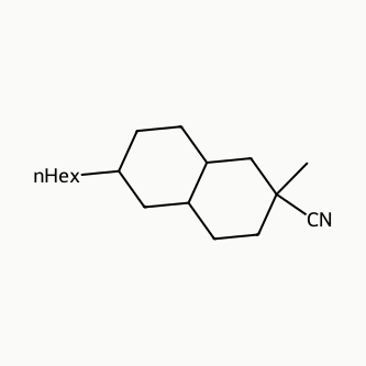 CCCCCCC1CCC2CC(C)(C#N)CCC2C1